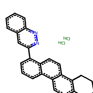 Cl.Cl.c1ccc2nnc(-c3cccc4c3ccc3c5c(ccc34)CCCC5)cc2c1